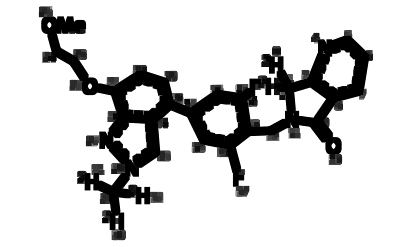 [2H]C1([2H])c2ncccc2C(=O)N1Cc1c(F)cc(-c2ccc(OCCOC)c3nn(C([2H])([2H])[2H])cc23)cc1F